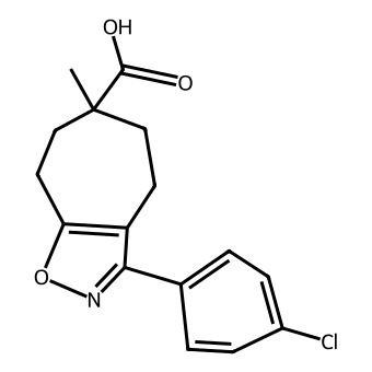 CC1(C(=O)O)CCc2onc(-c3ccc(Cl)cc3)c2CC1